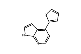 c1coc(-c2ccnc3[nH]ccc23)c1